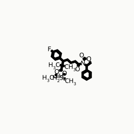 C[SiH2]OC(O[SiH2]C)C(C)(C)C(CCCC(=O)N1C(=O)OCC1c1ccccc1)c1ccc(F)cc1